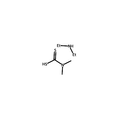 CCNCC.CN(C)C(=S)S